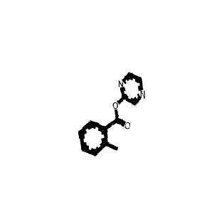 Cc1ccccc1C(=O)Oc1cnccn1